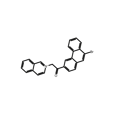 O=C(C[n+]1ccc2ccccc2c1)c1ccc2cc(Br)c3ccccc3c2c1